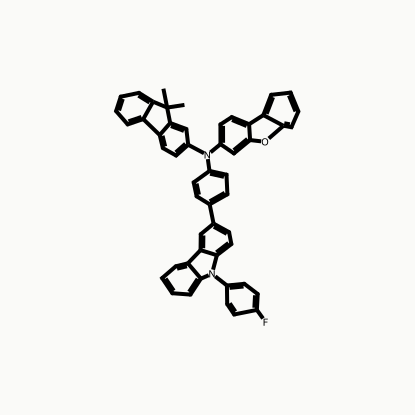 CC1(C)c2ccccc2-c2ccc(N(c3ccc(-c4ccc5c(c4)c4ccccc4n5-c4ccc(F)cc4)cc3)c3ccc4c(c3)oc3ccccc34)cc21